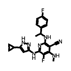 CNc1c(F)c(Nc2cc(C3CC3)[nH]n2)nc(NC(C)c2ccc(F)cc2)c1C#N